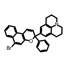 Brc1cc2c(c3ccccc13)C=CC(c1ccccc1)(c1cc3c4c(c1)CCCN4CCC3)O2